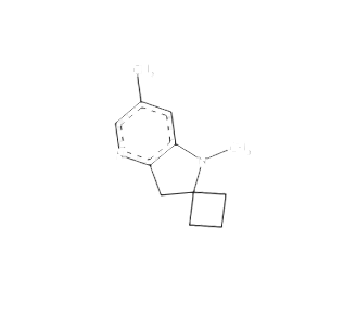 Cc1cnc2c(c1)N(C)C1(CCC1)C2